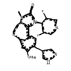 COc1cc2ncc3c(c2cc1-c1cn[nH]c1)n(-c1c(F)cncc1F)c(=O)n3C